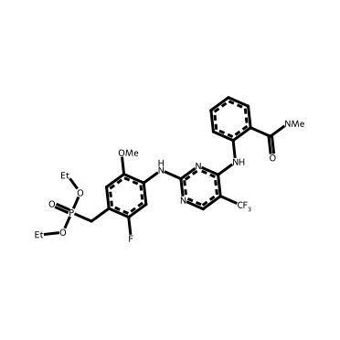 CCOP(=O)(Cc1cc(OC)c(Nc2ncc(C(F)(F)F)c(Nc3ccccc3C(=O)NC)n2)cc1F)OCC